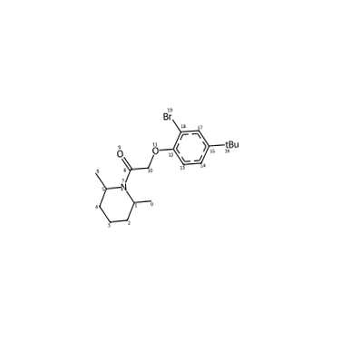 CC1CCCC(C)N1C(=O)COc1ccc(C(C)(C)C)cc1Br